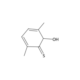 CC1=CC=C(C)C(O)C1=S